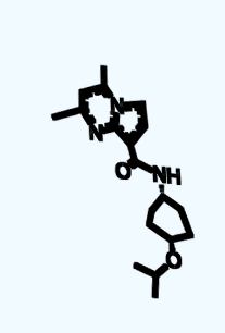 Cc1cc(C)n2ccc(C(=O)N[C@H]3CC[C@H](OC(C)C)CC3)c2n1